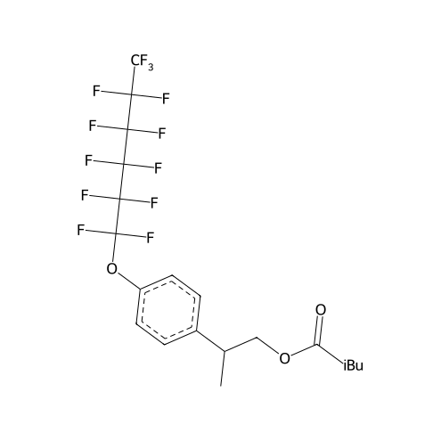 CCC(C)C(=O)OCC(C)c1ccc(OC(F)(F)C(F)(F)C(F)(F)C(F)(F)C(F)(F)C(F)(F)F)cc1